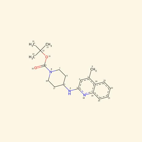 Cc1cc(NC2CCN(C(=O)OC(C)(C)C)CC2)nc2ccccc12